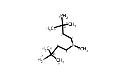 CP(CCC(C)(C)P)CCC(C)(C)P